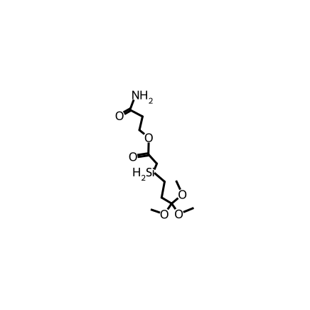 COC(CC[SiH2]CC(=O)OCCC(N)=O)(OC)OC